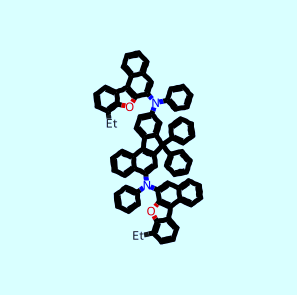 CCc1cccc2c1oc1c(N(c3ccccc3)c3ccc4c(c3)C(c3ccccc3)(c3ccccc3)c3cc(N(c5ccccc5)c5cc6ccccc6c6c5oc5c(CC)cccc56)c5ccccc5c3-4)cc3ccccc3c12